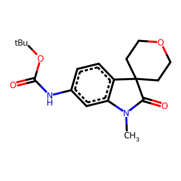 CN1C(=O)C2(CCOCC2)c2ccc(NC(=O)OC(C)(C)C)cc21